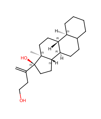 C=C(CCO)[C@@]1(O)CC[C@H]2[C@@H]3CCC4CCCC[C@@H]4[C@H]3CC[C@@]21C